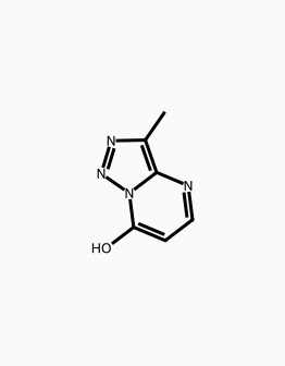 Cc1nnn2c(O)ccnc12